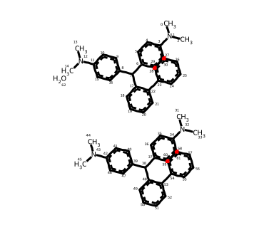 CN(C)c1ccc(C(c2ccc(N(C)C)cc2)c2ccccc2-c2ccccc2)cc1.CN(C)c1ccc(C(c2ccc(N(C)C)cc2)c2ccccc2-c2ccccc2)cc1.O